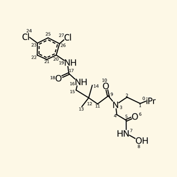 CC(C)CCN(CC(=O)NO)C(=O)CC(C)(C)CNC(=O)Nc1ccc(Cl)cc1Cl